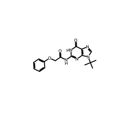 CC(C)(C)n1cnc2c(=O)[nH]c(NC(=O)COc3ccccc3)nc21